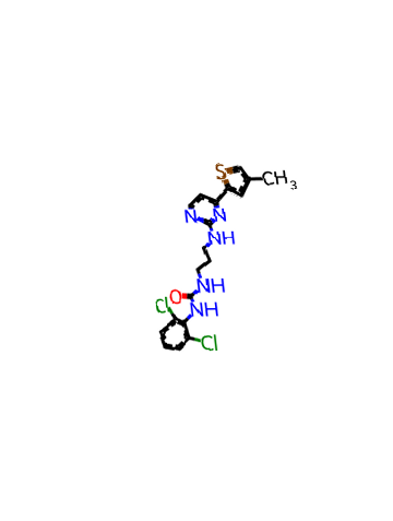 Cc1csc(-c2ccnc(NCCCNC(=O)Nc3c(Cl)cccc3Cl)n2)c1